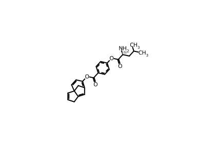 CC(C)C[C@H](N)C(=O)Oc1ccc(C(=O)OC2=C3C=C4CC=CC4(C=C2)C3)cc1